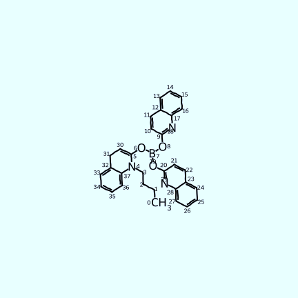 CCCCN1C(OB(Oc2ccc3ccccc3n2)Oc2ccc3ccccc3n2)=CCc2ccccc21